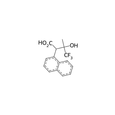 CC(O)(C(C(=O)O)c1cccc2ccccc12)C(F)(F)F